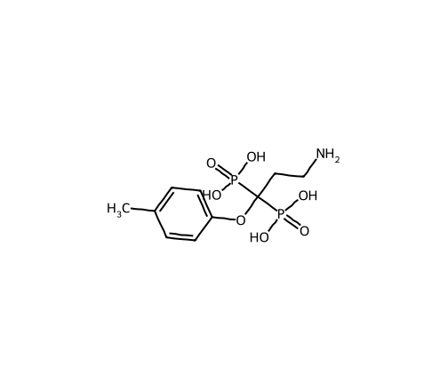 Cc1ccc(OC(CCN)(P(=O)(O)O)P(=O)(O)O)cc1